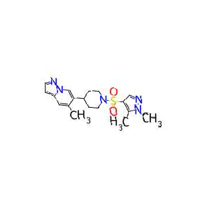 Cc1cc2ccnn2cc1C1CCN(S(=O)(=O)c2cnn(C)c2C)CC1